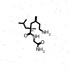 C=C(CCN)C[C@@](C)(CC(C)C)C(=O)NCC(N)=O